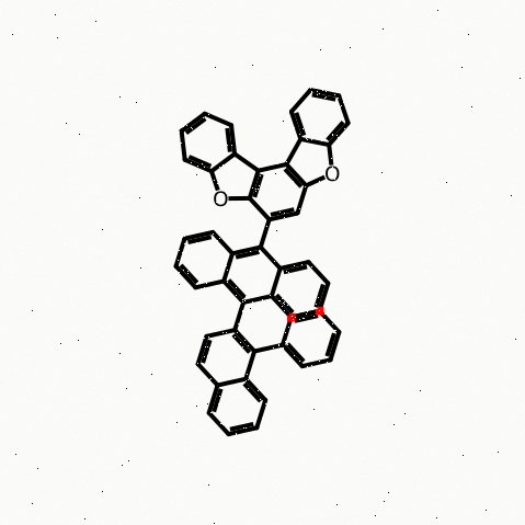 c1ccc(-c2c(-c3c4ccccc4c(-c4cc5oc6ccccc6c5c5c4oc4ccccc45)c4ccccc34)ccc3ccccc23)cc1